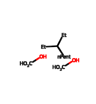 CCCCCC(CC)CC.O=C(O)O.O=C(O)O